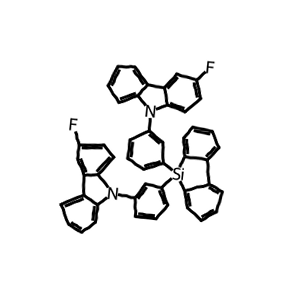 Fc1ccc2c(c1)c1ccccc1n2-c1cccc([Si]2(c3cccc(-n4c5ccccc5c5cc(F)ccc54)c3)c3ccccc3-c3ccccc32)c1